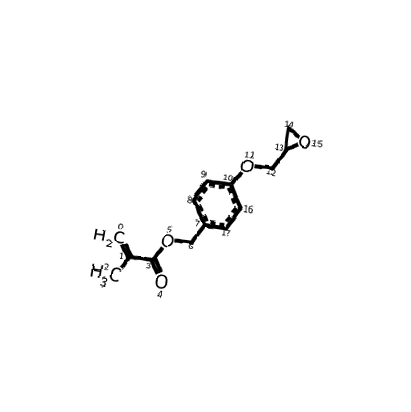 C=C(C)C(=O)OCc1ccc(OCC2CO2)cc1